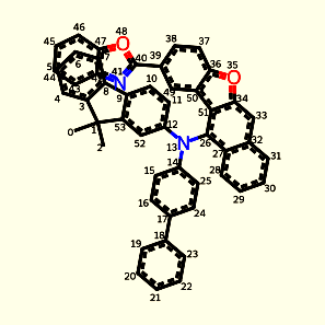 CC1(C)c2ccccc2-c2ccc(N(c3ccc(-c4ccccc4)cc3)c3c4ccccc4cc4oc5ccc(-c6nc7ccccc7o6)cc5c34)cc21